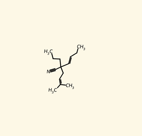 CCC=CC(C#N)(CC=C(C)C)CCC